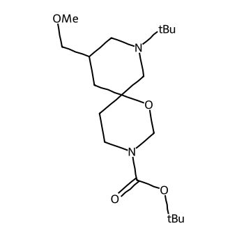 COCC1CN(C(C)(C)C)CC2(CCN(C(=O)OC(C)(C)C)CO2)C1